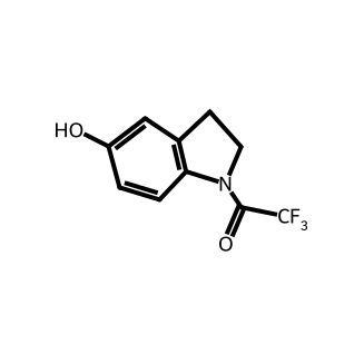 O=C(N1CCc2cc(O)ccc21)C(F)(F)F